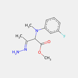 COC(=O)C(/C(C)=N/N)N(C)c1cccc(F)c1